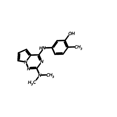 Cc1ccc(Nc2nc(N(C)C)nn3cccc23)cc1O